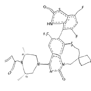 C=CC(=O)N1[C@H](C)CN(c2nc(=O)n3c4c(c(-c5c(F)cc(F)c6sc(=O)[nH]c56)c(C(F)(F)F)cc24)SCC2(COC2)C3)C[C@@H]1C